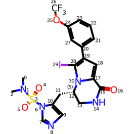 CN(C)S(=O)(=O)n1cncc1C[C@H]1CNC(=O)c2cc(-c3cccc(OC(F)(F)F)c3)c(I)n21